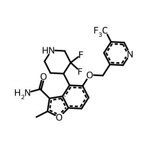 Cc1oc2ccc(OCc3cncc(C(F)(F)F)c3)c(C3CCNCC3(F)F)c2c1C(N)=O